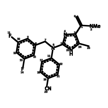 C=C(NC)c1nc(N(Cc2cc(F)cc(F)c2)c2ccc(C#N)cc2)[nH]c1C